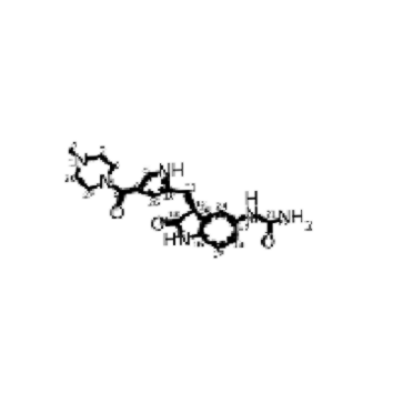 CN1CCN(C(=O)c2c[nH]c(C=C3C(=O)Nc4ccc(NC(N)=O)cc43)c2)CC1